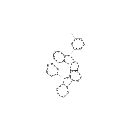 Cc1cccc(-n2c3ccccc3n3c4c(ccc5c6ccccc6n(-c6ccccc6)c54)nc23)c1